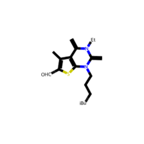 C=C1c2c(sc(C=O)c2C)N(CCCC(C)CC)C(=C)N1CC